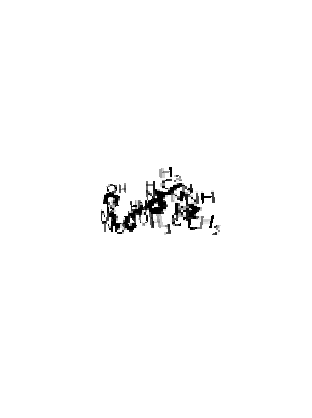 Cc1cnc(Nc2cc(C)n(C)n2)nc1-c1c[nH]c2c(NC(=O)CN3CCC(Oc4cc(N5CCC(O)CC5)ncn4)C3)cccc12